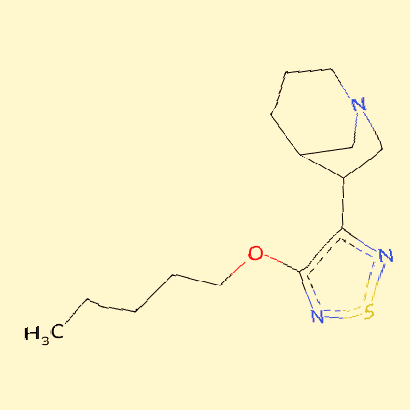 CCCCCOc1nsnc1C1CN2CCCC1C2